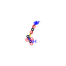 [N-]=[N+]=NCCOCc1ccc(COCCSc2cccc3c2CN(C2CCC(=O)NC2=O)C3=O)cc1